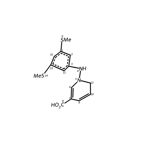 CSc1cc(NN2C=C(C(=O)O)C=CC2)cc(SC)c1